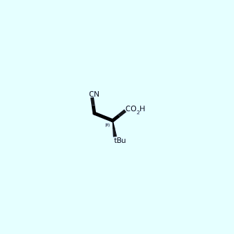 CC(C)(C)[C@@H](CC#N)C(=O)O